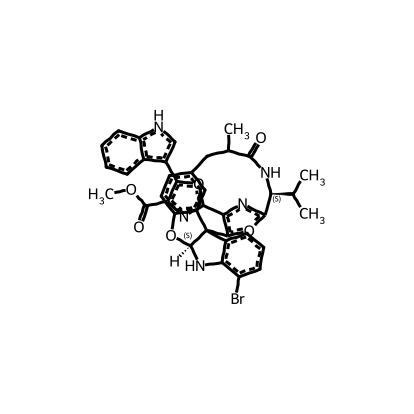 COC(=O)c1nc(-c2nc3oc2C24c5cc(ccc5O[C@@H]2Nc2c(Br)cccc24)CC(C)C(=O)N[C@H]3C(C)C)oc1-c1c[nH]c2ccccc12